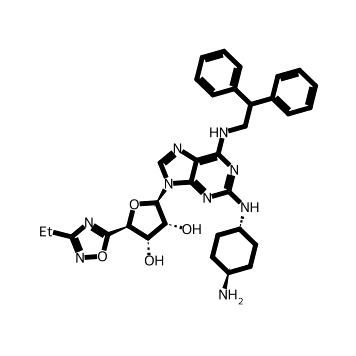 CCc1noc([C@H]2O[C@@H](n3cnc4c(NCC(c5ccccc5)c5ccccc5)nc(N[C@H]5CC[C@H](N)CC5)nc43)[C@H](O)[C@@H]2O)n1